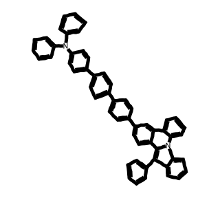 c1ccc(-c2c3ccccc3n3c4ccccc4c4cc(-c5ccc(-c6ccc(-c7ccc(N(c8ccccc8)c8ccccc8)cc7)cc6)cc5)ccc4c23)cc1